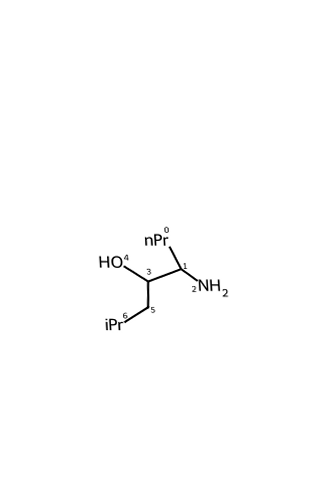 CCCC(N)C(O)CC(C)C